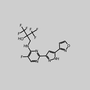 OC(CNc1nc(-c2cc(-c3ccon3)[nH]n2)ncc1F)(C(F)(F)F)C(F)(F)F